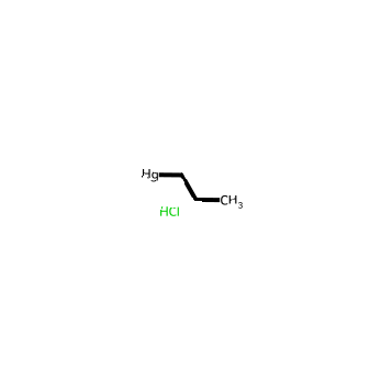 CC[CH2][Hg].Cl